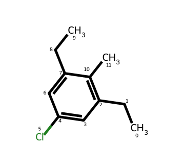 CCc1cc(Cl)cc(CC)c1C